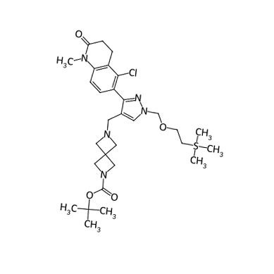 CN1C(=O)CCc2c1ccc(-c1nn(COCCS(C)(C)C)cc1CN1CC3(C1)CN(C(=O)OC(C)(C)C)C3)c2Cl